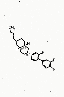 CCCCC1CC[C@@H]2C[C@H](c3ccc(-c4ccc(F)c(F)c4)c(F)c3)CC[C@@H]2C1